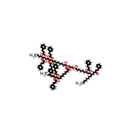 CCCCCCCCC(CCC(=O)/C=C/c1ccccc1)C(CCCCCCCC(=O)OCC(COC(=O)CCCCCCCC(OC(=O)/C=C/c1ccccc1)C(CC(OC(=O)/C=C/c1ccccc1)C(CCCCC)OC(=O)/C=C/c1ccccc1)OC(=O)/C=C/c1ccccc1)OC(=O)CCCCCCCC(OC(=O)/C=C/c1ccccc1)C(CCCCCC)OC(=O)/C=C/c1ccccc1)OC(=O)/C=C/c1ccccc1